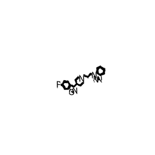 Fc1ccc2c(C3CCN(CCCn4nnc5ccccc54)CC3)noc2c1